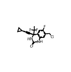 CC(F)(F)C1(C#CC2CC2)NC(=O)Nc2cc(CCl)c(F)cc21